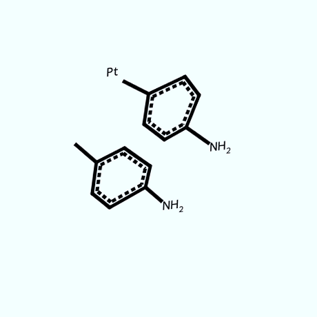 Cc1ccc(N)cc1.Cc1ccc(N)cc1.[Pt]